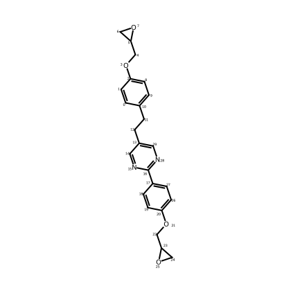 c1cc(OCC2CO2)ccc1CCc1cnc(-c2ccc(OCC3CO3)cc2)nc1